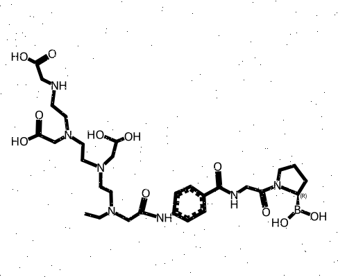 CCN(CCN(CCN(CCNCC(=O)O)CC(=O)O)CC(O)O)CC(=O)Nc1ccc(C(=O)NCC(=O)N2CCC[C@H]2B(O)O)cc1